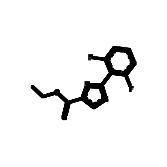 CCOC(=O)c1csc(-c2c(F)cccc2F)n1